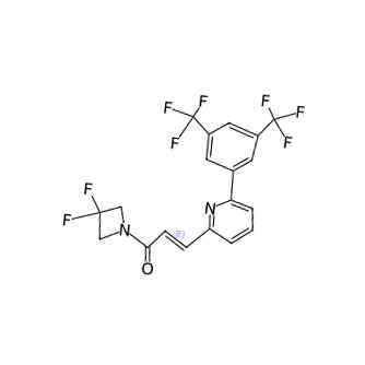 O=C(/C=C/c1cccc(-c2cc(C(F)(F)F)cc(C(F)(F)F)c2)n1)N1CC(F)(F)C1